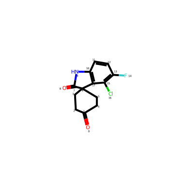 O=C1CCC2(CC1)C(=O)Nc1ccc(F)c(Cl)c12